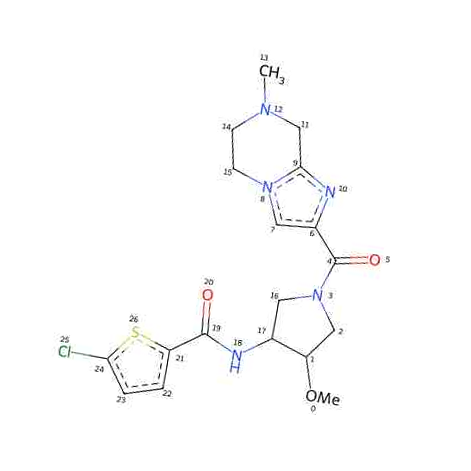 COC1CN(C(=O)c2cn3c(n2)CN(C)CC3)CC1NC(=O)c1ccc(Cl)s1